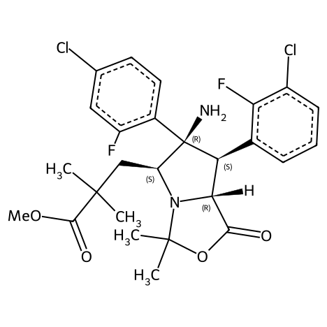 COC(=O)C(C)(C)C[C@@H]1N2[C@@H](C(=O)OC2(C)C)[C@H](c2cccc(Cl)c2F)[C@@]1(N)c1ccc(Cl)cc1F